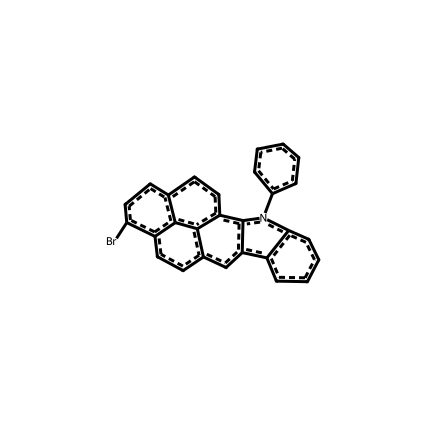 Brc1ccc2ccc3c4c(ccc1c24)cc1c2ccccc2n(-c2ccccc2)c13